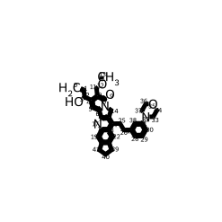 C=CC(O)c1cc2n(c(=O)c1COC)Cc1c-2nc2cc3c(cc2c1CCc1cccc(N2CCOCC2)c1)CCC3